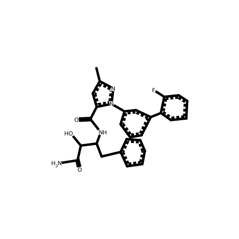 Cc1cc(C(=O)NC(Cc2ccccc2)C(O)C(N)=O)n(-c2cccc(-c3ccccc3F)c2)n1